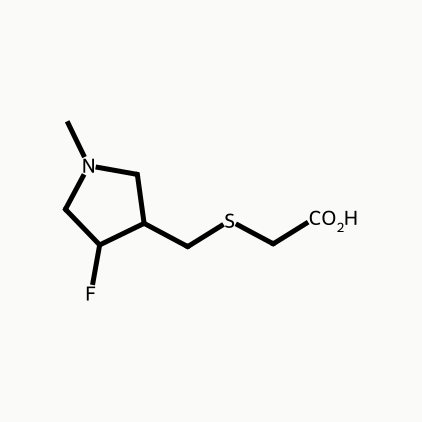 CN1CC(F)C(CSCC(=O)O)C1